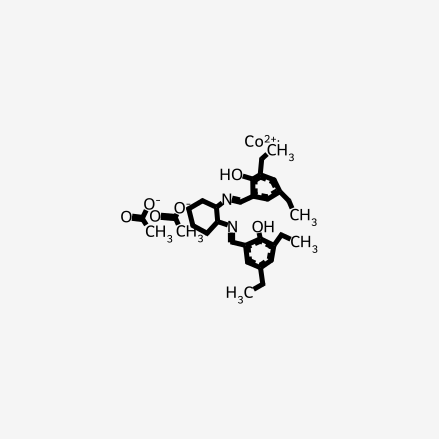 CC(=O)[O-].CC(=O)[O-].CCc1cc(C=NC2CCCCC2N=Cc2cc(CC)cc(CC)c2O)c(O)c(CC)c1.[Co+2]